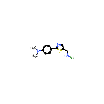 CN(C)c1ccc(-c2ncc(CNCl)s2)cc1